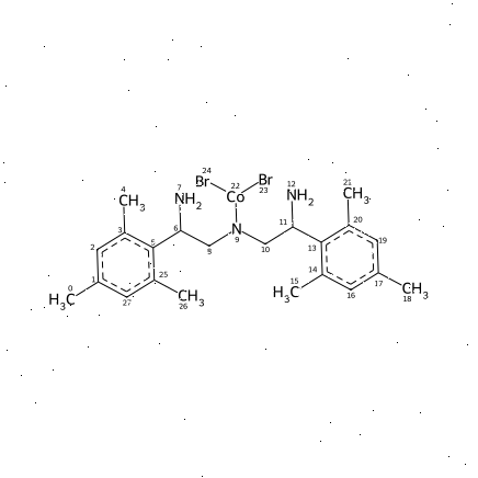 Cc1cc(C)c(C(N)C[N](CC(N)c2c(C)cc(C)cc2C)[Co]([Br])[Br])c(C)c1